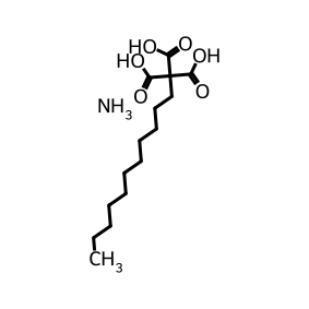 CCCCCCCCCCCC(C(=O)O)(C(=O)O)C(=O)O.N